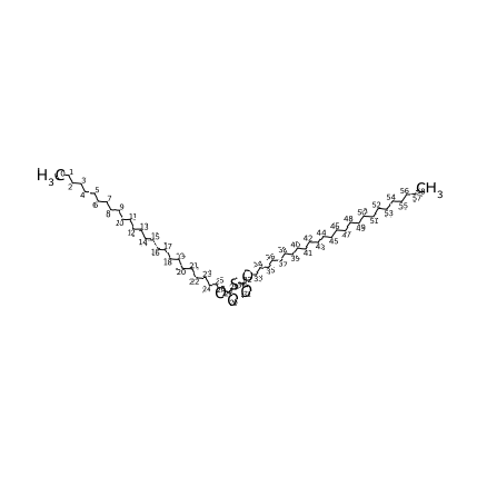 CCCCCCCCCCCCCCCCCCCCCCCCCCOC(=O)SC(=O)OCCCCCCCCCCCCCCCCCCCCCCCCCC